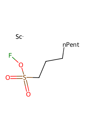 CCCCCCCCS(=O)(=O)OF.[Sc]